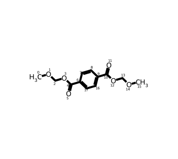 COCOC(=O)c1ccc(C(=O)OCOC)cc1